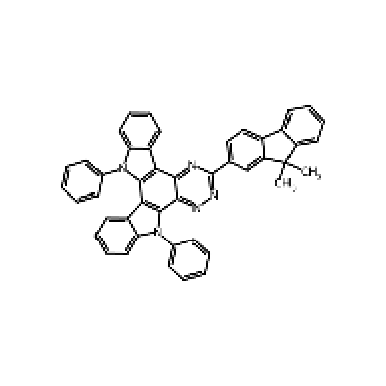 CC1(C)c2ccccc2-c2ccc(-c3nnc4c(n3)c3c5ccccc5n(-c5ccccc5)c3c3c5ccccc5n(-c5ccccc5)c43)cc21